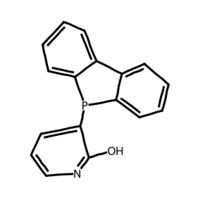 Oc1ncccc1-p1c2ccccc2c2ccccc21